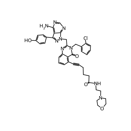 Nc1ncnc2c1c(-c1ccc(O)cc1)nn2Cc1nc2cccc(C#CCCCC(=O)NCCN3CCOCC3)c2c(=O)n1Cc1ccccc1Cl